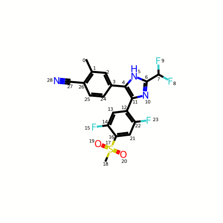 Cc1cc(-c2[nH]c(C(F)F)nc2-c2cc(F)c(S(C)(=O)=O)cc2F)ccc1C#N